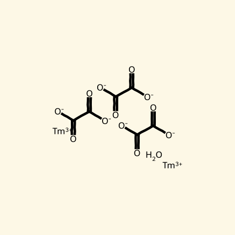 O.O=C([O-])C(=O)[O-].O=C([O-])C(=O)[O-].O=C([O-])C(=O)[O-].[Tm+3].[Tm+3]